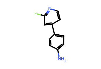 Nc1ccc(-c2ccnc(F)c2)cc1